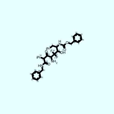 CC(C)CC(NC(=O)OCc1ccccc1)C(O)C(F)(F)C(N)C(=O)C(C(=O)NCc1ccccc1)C(C)C